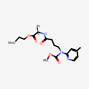 COCCOC(=O)[C@H](NC(=O)CCCN(C(=O)OC(C)(C)C)c1cc(C)ccn1)C(C)C